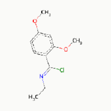 CCN=C(Cl)c1ccc(OC)cc1OC